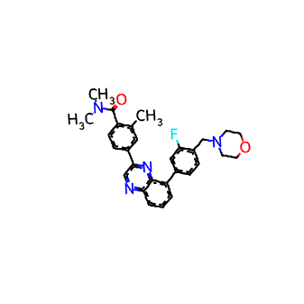 Cc1cc(-c2cnc3cccc(-c4ccc(CN5CCOCC5)c(F)c4)c3n2)ccc1C(=O)N(C)C